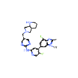 Cc1nc2c(F)cc(-c3cc(Nc4ncc(CN5CC6CCCNC6C5)cn4)ncc3F)cc2n1C(C)C